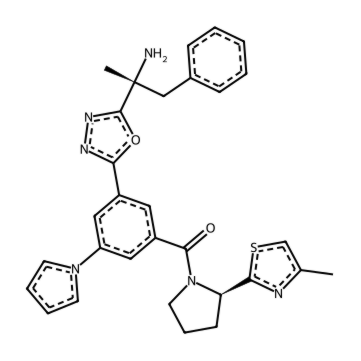 Cc1csc([C@H]2CCCN2C(=O)c2cc(-c3nnc([C@](C)(N)Cc4ccccc4)o3)cc(-n3cccc3)c2)n1